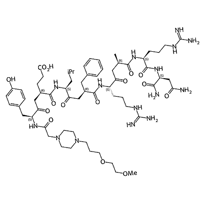 COCCOCCCN1CCN(CC(=O)N[C@@H](Cc2ccc(O)cc2)C(=O)C[C@@H](CCC(=O)O)C(=O)N[C@@H](CC(C)C)C(=O)C[C@@H](Cc2ccccc2)C(=O)N[C@@H](CCCNC(=N)N)C(=O)C[C@@H](C)C(=O)N[C@@H](CCCNC(=N)N)C(=O)N[C@@H](CC(N)=O)C(N)=O)CC1